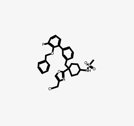 CS(=O)(=O)NC1CCC(Cc2cccc(-c3cccc(F)c3OCc3ccccc3)c2)(c2nc(CCl)co2)CC1